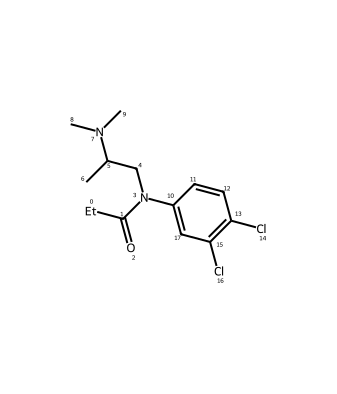 CCC(=O)N(CC(C)N(C)C)c1ccc(Cl)c(Cl)c1